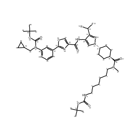 CN(CCCCCCNC(=O)OC(C)(C)C)C(=O)[C@H]1CC[C@H](n2cc(NC(=O)c3coc(-c4ccnc(N(CC5CC5)C(=O)OC(C)(C)C)c4)n3)c(C(F)F)n2)CC1